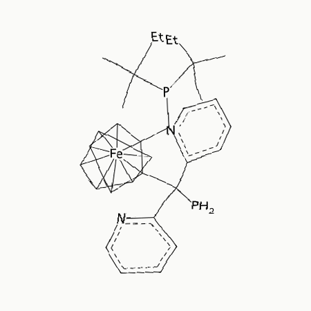 CCC(C)(C)P(C[C]12[CH]3[CH]4[CH]5[C]1(C(P)(c1ccccn1)c1ccccn1)[Fe]43521678[CH]2[CH]1[CH]6[CH]7[CH]28)C(C)(C)CC